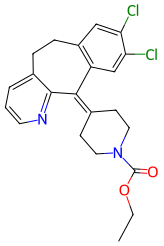 CCOC(=O)N1CCC(=C2c3cc(Cl)c(Cl)cc3CCc3cccnc32)CC1